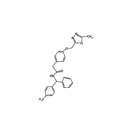 Cc1ccc(C(NC(=O)Cc2ccc(OCc3nnc(C)o3)cc2)c2ccccc2)cc1